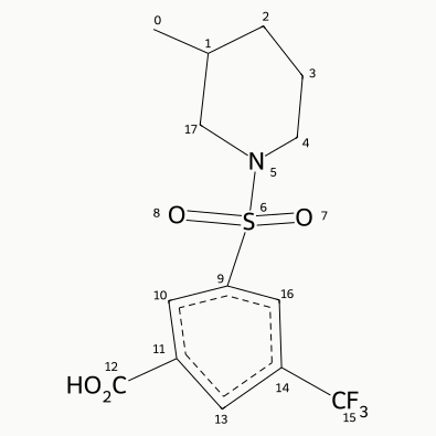 CC1CCCN(S(=O)(=O)c2cc(C(=O)O)cc(C(F)(F)F)c2)C1